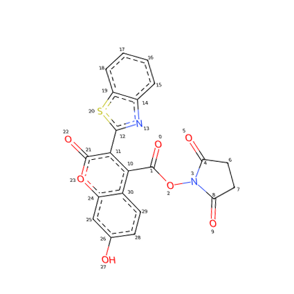 O=C(ON1C(=O)CCC1=O)c1c(-c2nc3ccccc3s2)c(=O)oc2cc(O)ccc12